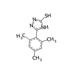 Cc1cc(C)c(-c2nnc(S)[nH]2)c(C)c1